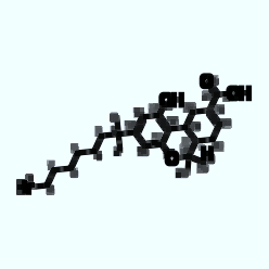 CC(C)(CCCCCCBr)c1cc(O)c2c(c1)OC(C)(C)[C@@H]1CC=C(C(=O)O)CC21